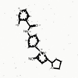 N#Cc1cc(C2CCCO2)nn1-c1ccc(NC(=O)c2ccncc2F)cc1